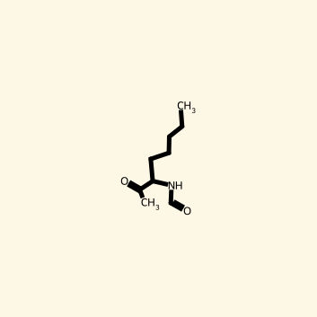 CCCCCC(NC=O)C(C)=O